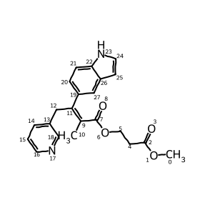 COC(=O)CCOC(=O)C(C)=C(Cc1cccnc1)c1ccc2[nH]ccc2c1